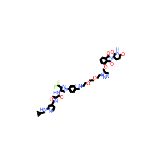 O=C1CCC(N2C(=O)c3cccc(OCc4cnnn4CCOCCOCCNCc4ccc(-n5cc(NC(=O)c6coc(-c7ccnc(NCC8CC8)c7)n6)c(C(F)F)n5)cc4)c3C2=O)C(=O)N1